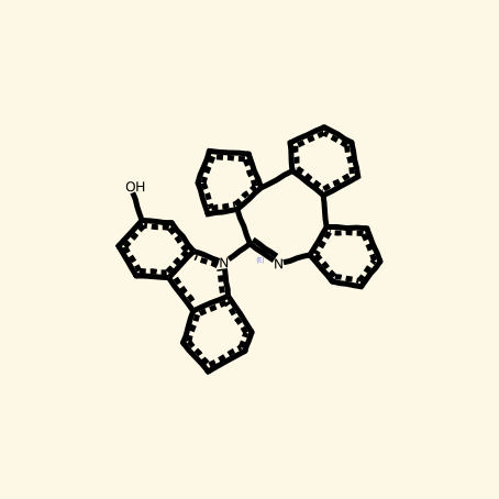 Oc1ccc2c3ccccc3n(/C3=N/c4ccccc4-c4ccccc4-c4ccccc43)c2c1